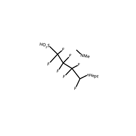 CCCCCCCC(F)C(F)(F)C(F)(F)C(F)(F)S(=O)(=O)O.CNC